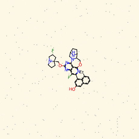 CCc1cccc2cc(O)cc(-c3nc4c5c(nc(OC[C@@]67CCCN6C[C@H](F)C7)nc5c3F)N3CC5CCC(N5)C3CO4)c12